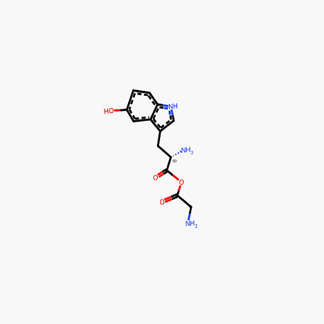 NCC(=O)OC(=O)[C@@H](N)Cc1c[nH]c2ccc(O)cc12